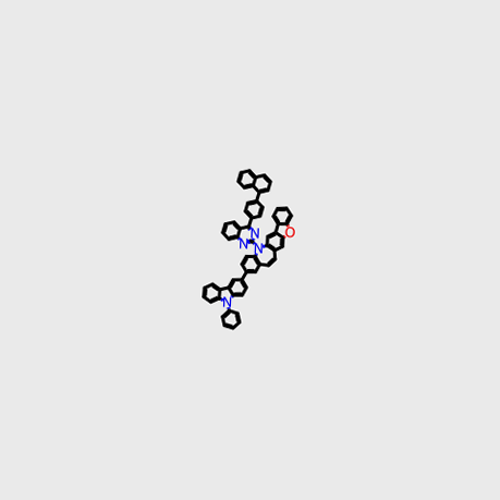 C1=Cc2cc3oc4ccccc4c3cc2N(c2nc(-c3ccc(-c4cccc5ccccc45)cc3)c3ccccc3n2)c2ccc(-c3ccc4c(c3)c3ccccc3n4-c3ccccc3)cc21